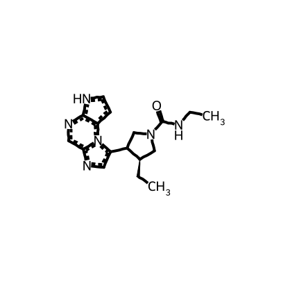 CCNC(=O)N1CC(c2cnc3cnc4[nH]ccc4n23)[C@H](CC)C1